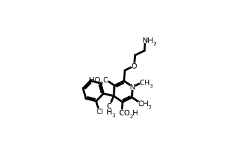 CC1=C(C(=O)O)C(C)(c2ccccc2Cl)C(C(=O)O)=C(COCCN)N1C